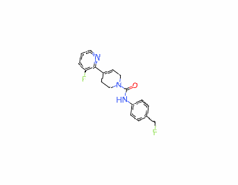 O=C(Nc1ccc(CF)cc1)N1CC=C(c2ncccc2F)CC1